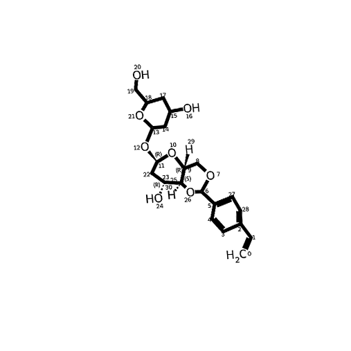 C=Cc1ccc(C2OC[C@H]3O[C@H](OC4CC(O)CC(CO)O4)C[C@@H](O)[C@@H]3O2)cc1